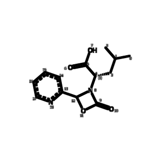 CC(C)C[C@@H](C(=O)O)N1C(=O)OC1c1ccccn1